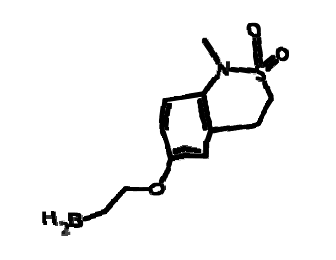 BCCOc1ccc2c(c1)CCS(=O)(=O)N2C